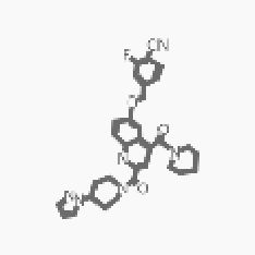 N#Cc1ccc(COc2ccc3nc(C(=O)N4CCC(n5cccn5)CC4)cc(C(=O)N4CCCCC4)c3c2)cc1F